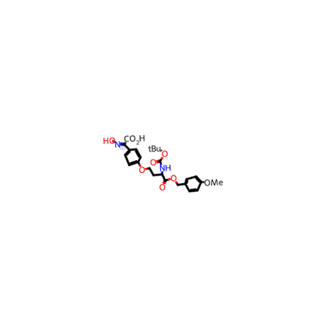 COc1ccc(COC(=O)C(CCOc2ccc(/C(=N/O)C(=O)O)cc2)NC(=O)OC(C)(C)C)cc1